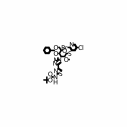 COC1C(Sc2cc(Cl)cnc2Br)OC2COC(c3ccccc3)OC2C1n1cc(-c2csc(NC(=O)OC(C)(C)C)n2)nn1